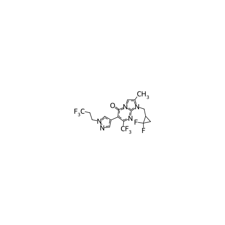 Cc1cn2c(=O)c(-c3cnn(CCC(F)(F)F)c3)c(C(F)(F)F)nc2n1CC1CC1(F)F